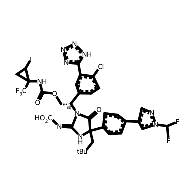 CC(C)(C)CC1(c2ccc(-c3cnn(C(F)F)c3)cc2)NC(=NC(=O)O)N([C@H](COC(=O)NC2(C(F)(F)F)CC2I)c2ccc(Cl)c(-c3nnn[nH]3)c2)C1=O